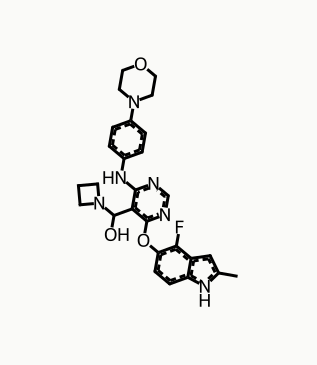 Cc1cc2c(F)c(Oc3ncnc(Nc4ccc(N5CCOCC5)cc4)c3C(O)N3CCC3)ccc2[nH]1